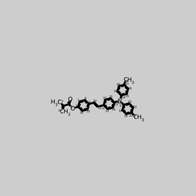 C=C(C)C(=O)Oc1ccc(C=Cc2ccc(N(c3ccc(C)cc3)c3ccc(C)cc3)cc2)cc1